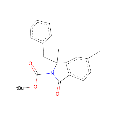 Cc1ccc2c(c1)C(C)(Cc1ccccc1)N(C(=O)OC(C)(C)C)C2=O